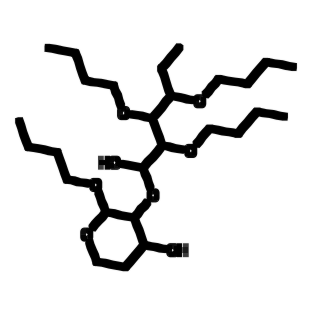 CCCCOC(CC)C(OCCCC)C(OCCCC)C(O)OC1C(O)CCOC1OCCCC